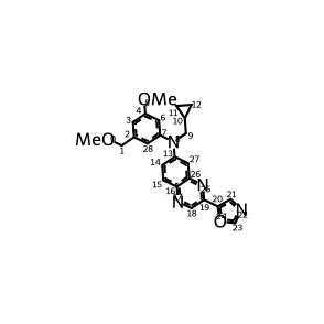 COCc1cc(OC)cc(N(CC2CC2)c2ccc3ncc(-c4cnco4)nc3c2)c1